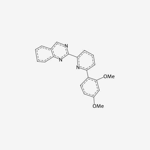 COc1ccc(-c2cccc(-c3ncc4ccccc4n3)n2)c(OC)c1